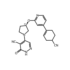 N#Cc1c(N2CC[C@@H](Oc3cc(C4=CCC(C#N)CC4)ccn3)C2)cn[nH]c1=O